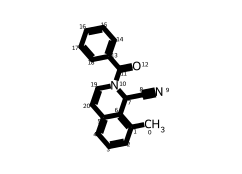 Cc1cccc2c1C(C#N)N(C(=O)c1ccccc1)C=C2